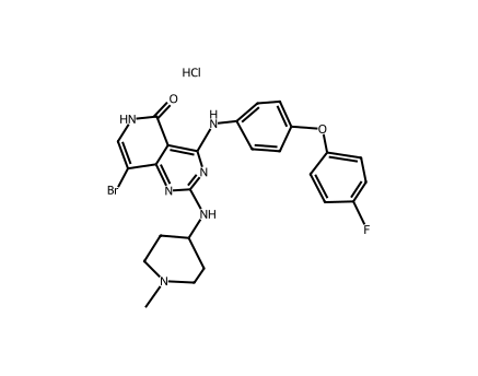 CN1CCC(Nc2nc(Nc3ccc(Oc4ccc(F)cc4)cc3)c3c(=O)[nH]cc(Br)c3n2)CC1.Cl